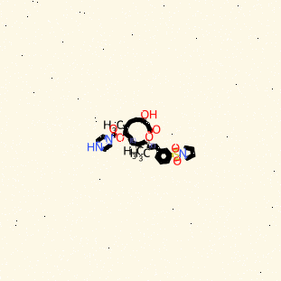 C/C(=C\c1cccc(S(=O)(=O)N2CCCC2)c1)[C@H]1OC(=O)C[C@H](O)CC[C@H](C)[C@@H](OC(=O)N2CCNCC2)/C=C/[C@@H]1C